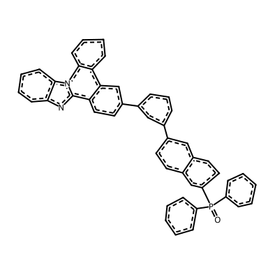 O=P(c1ccccc1)(c1ccccc1)c1ccc2cc(-c3cccc(-c4ccc5c(c4)c4ccccc4n4c6ccccc6nc54)c3)ccc2c1